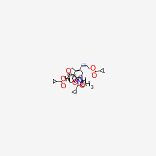 CN1CC[C@@]23C4=C(/C=C\COC(=O)C5CC5)C[C@@H]1[C@]2(OC(=O)C1CC1)CC=C(OC(=O)C1CC1)[C@@H]3OC4